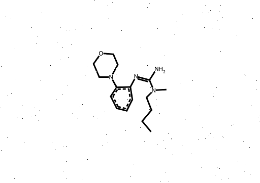 CCCCN(C)/C(N)=N\c1ccccc1N1CCOCC1